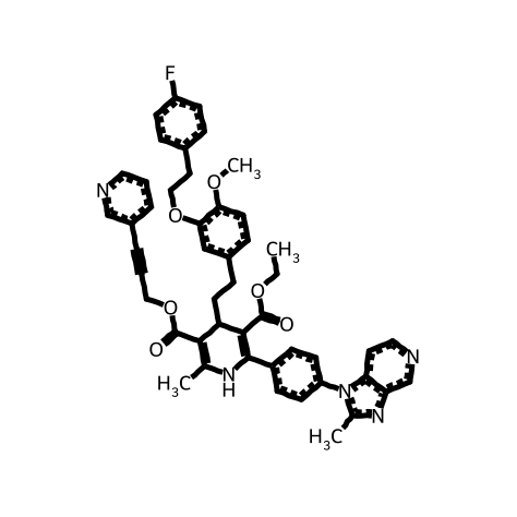 CCOC(=O)C1=C(c2ccc(-n3c(C)nc4cnccc43)cc2)NC(C)=C(C(=O)OCC#Cc2cccnc2)C1CCc1ccc(OC)c(OCCc2ccc(F)cc2)c1